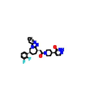 O=C(C[C@@H]1CC[C@H](c2cccc(F)c2F)Cn2c(CC(F)(F)F)nnc21)N1CCC(c2ccn[nH]c2=O)CC1